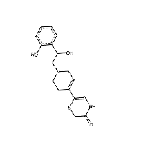 O=C1CSC(C2=CCN(CC(O)c3ccccc3O)CC2)=NN1